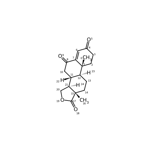 C[C@]12CCC(=O)C=C1C(=O)C[C@@H]1[C@@H]2CC[C@]2(C)C(=O)OC[C@@H]12